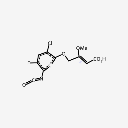 CO/C(=C\C(=O)O)COc1cc(N=C=O)c(F)cc1Cl